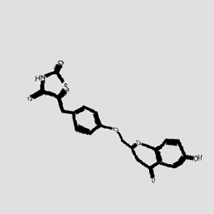 O=C1NC(=O)C(Cc2ccc(OCC3CC(=O)c4cc(O)ccc4O3)cc2)S1